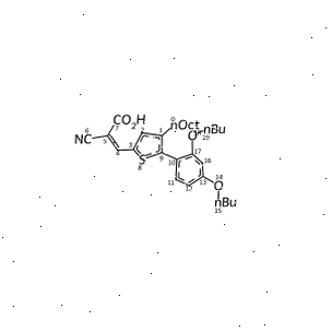 CCCCCCCCc1cc(/C=C(/C#N)C(=O)O)sc1-c1ccc(OCCCC)cc1OCCCC